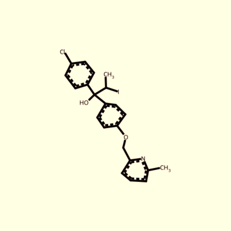 Cc1cccc(COc2ccc(C(O)(c3ccc(Cl)cc3)C(C)I)cc2)n1